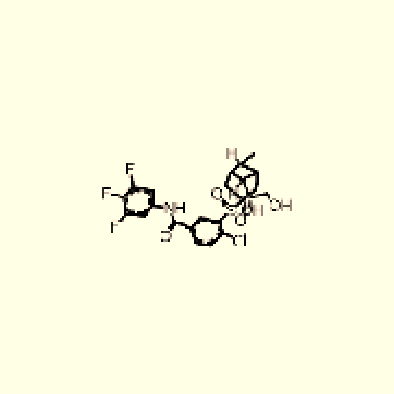 C[C@H]1C2C[C@@H](S(=O)(=O)c3cc(C(=O)Nc4cc(F)c(F)c(F)c4)ccc3Cl)CC1[C@@H]2[C@@H](O)CO